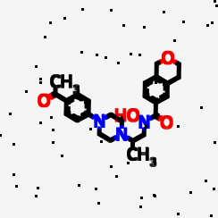 CC(=O)c1ccc(N2CCN(C(C)CN(O)C(=O)c3ccc4c(c3)CCOC4)CC2)cc1